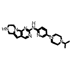 CC(C)N1CCN(c2ccc(Nc3ncc4cc5n(c4n3)CCNC5)nc2)CC1